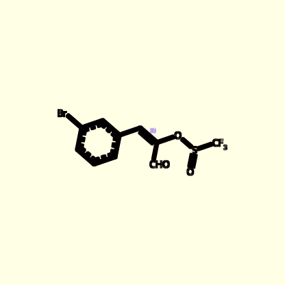 O=C/C(=C\c1cccc(Br)c1)OS(=O)C(F)(F)F